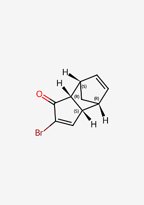 O=C1C(Br)=C[C@@H]2[C@H]1[C@@H]1C=C[C@H]2C1